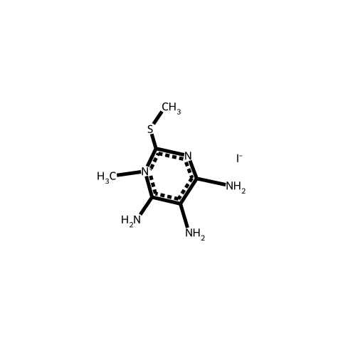 CSc1nc(N)c(N)c(N)[n+]1C.[I-]